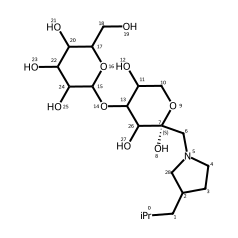 CC(C)CC1CCN(C[C@]2(O)OCC(O)C(OC3OC(CO)C(O)C(O)C3O)C2O)C1